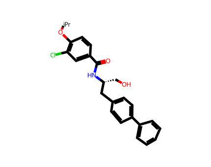 CC(C)Oc1ccc(C(=O)N[C@H](CO)Cc2ccc(-c3ccccc3)cc2)cc1Cl